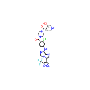 O=C(c1ccc(Nc2nccn3c(-c4c[nH]nc4C(F)(F)F)cnc23)cc1Cl)N1CCN(C(=O)[C@H]2CCNC[C@@H]2O)CC1